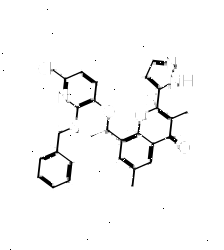 Cc1cc([C@@H](C)Oc2ccc(Cl)nc2SCc2ccccc2)c2oc(-c3ccn[nH]3)c(C)c(=O)c2c1